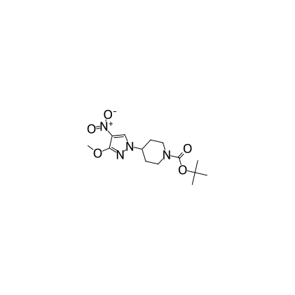 COc1nn(C2CCN(C(=O)OC(C)(C)C)CC2)cc1[N+](=O)[O-]